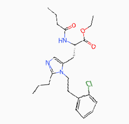 CCCC(=O)N[C@@H](Cc1cnc(CCC)n1CCc1ccccc1Cl)C(=O)OCC